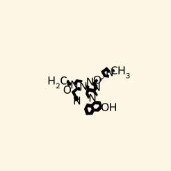 C=CC(=O)N1CCN(c2nc(OC[C@@H]3CCN(C)C3)nc3c2CCN(c2cc(O)cc4ccccc24)C3)C=C1CC#N